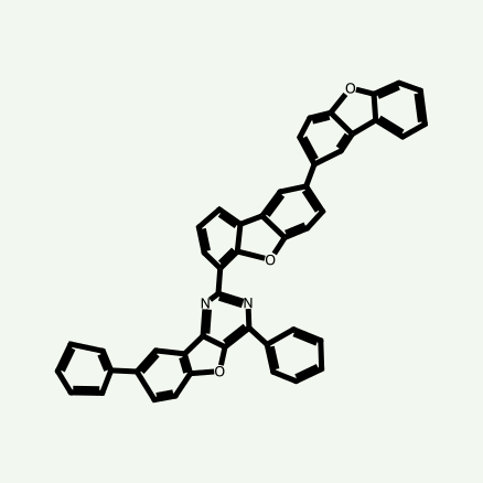 c1ccc(-c2ccc3oc4c(-c5ccccc5)nc(-c5cccc6c5oc5ccc(-c7ccc8oc9ccccc9c8c7)cc56)nc4c3c2)cc1